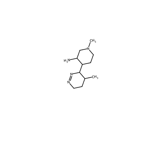 CC1CCN=NC1C1CCN(C)CC1N